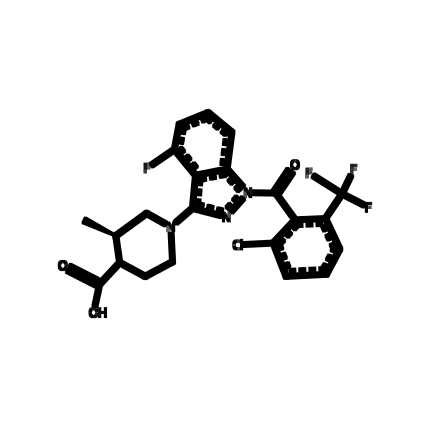 C[C@H]1CN(c2nn(C(=O)c3c(Cl)cccc3C(F)(F)F)c3cccc(F)c23)CCC1C(=O)O